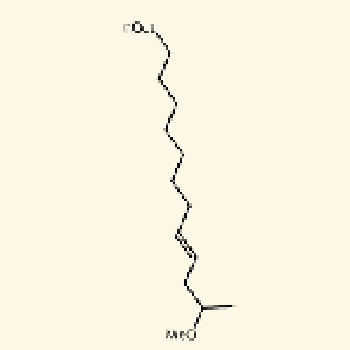 [CH2]C(CC=CCCCCCCCCCCCCCCC)OC